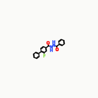 O=C(NNC(=O)c1ccc(-c2ccccc2)c(F)c1)c1ccccc1